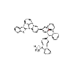 CC1(C)c2ccccc2-c2cc(N(c3cccc(-c4ccc5c(c4)c4cccc6c7c8ccccc8sc7n5c46)c3)c3ccccc3-c3ccccc3)ccc21